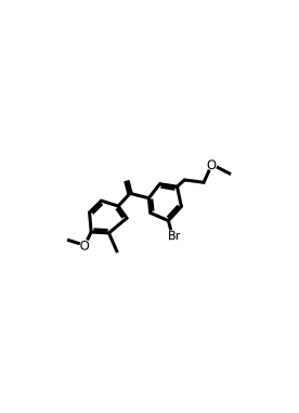 C=C(c1cc(Br)cc(CCOC)c1)c1ccc(OC)c(C)c1